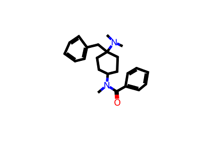 CN(C(=O)c1ccccc1)C1CCC(Cc2ccccc2)(N(C)C)CC1